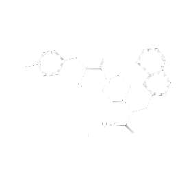 CCC1CN(C(Cc2ccc3ccccc3c2)C(=O)NC)CCN1C(=O)C(N)Cc1ccc(Cl)cc1.Cl